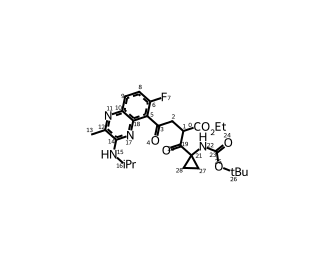 CCOC(=O)C(CC(=O)c1c(F)ccc2nc(C)c(NC(C)C)nc12)C(=O)C1(NC(=O)OC(C)(C)C)CC1